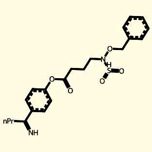 CCCC(=N)c1ccc(OC(=O)CCCN(OCc2ccccc2)[SH](=O)=O)cc1